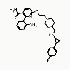 NC(=O)c1ccc(OCCN2CCC(CNC3CC3c3ccc(F)cc3)CC2)nc1-c1ccccc1N